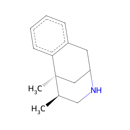 C[C@@H]1CNC2Cc3ccccc3[C@@]1(C)C2